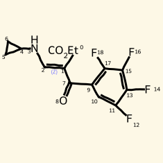 CCOC(=O)/C(=C\NC1CC1)C(=O)c1cc(F)c(F)c(F)c1F